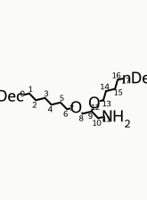 CCCCCCCCCCCCCCCCOCC(CN)OCCCCCCCCCCCCCC